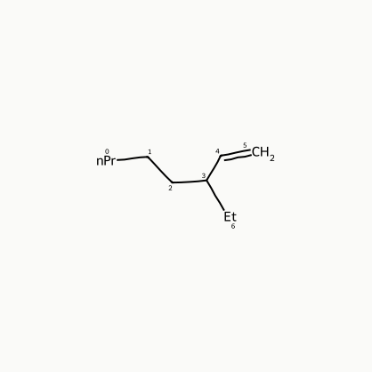 [CH2]CCCCC(C=C)CC